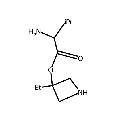 CCC1(OC(=O)C(N)C(C)C)CNC1